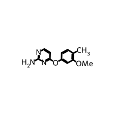 COc1cc(Oc2ccnc(N)n2)ccc1C